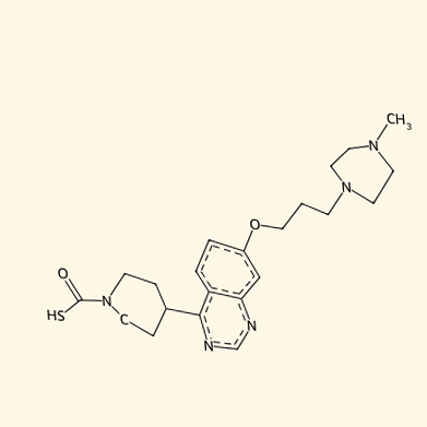 CN1CCN(CCCOc2ccc3c(C4CCN(C(=O)S)CC4)ncnc3c2)CC1